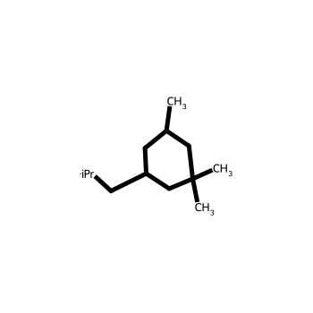 C[C](C)CC1CC(C)CC(C)(C)C1